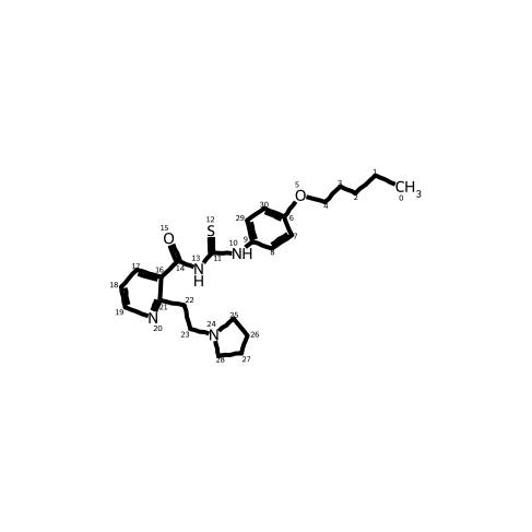 CCCCCOc1ccc(NC(=S)NC(=O)c2cccnc2CCN2CCCC2)cc1